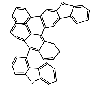 C1=Cc2c(c(-c3cc4c(cc3-c3ccccc3)oc3ccccc34)c3ccccc3c2-c2cccc3oc4ccccc4c23)CC1